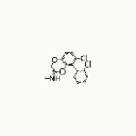 CN[C@@H]1COc2ccc(Cl)c(-c3ccccc3Cl)c2O1